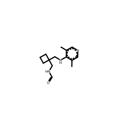 Cc1cncc(C)c1NCC1(CNC=O)CCC1